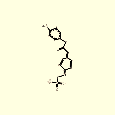 COc1ccc(CC(=O)C=C2C=CC(=NOS(C)(=O)=O)C=C2)cc1